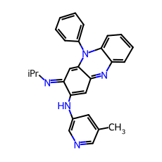 Cc1cncc(Nc2cc3nc4ccccc4n(-c4ccccc4)c-3c/c2=N\C(C)C)c1